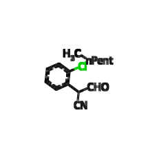 CCCCCC.N#CC(C=O)c1ccccc1Cl